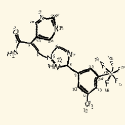 NC(=O)/C(=C/N1C=NC(c2cc(C(F)(F)F)cc(S(F)(F)(F)(F)F)c2)N1)c1cncnc1